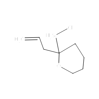 C=CCC1([SiH2]Cl)CCCCO1